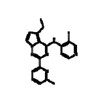 CCc1ccn2nc(-c3cccc(C)n3)nc(Nc3ccncc3F)c12